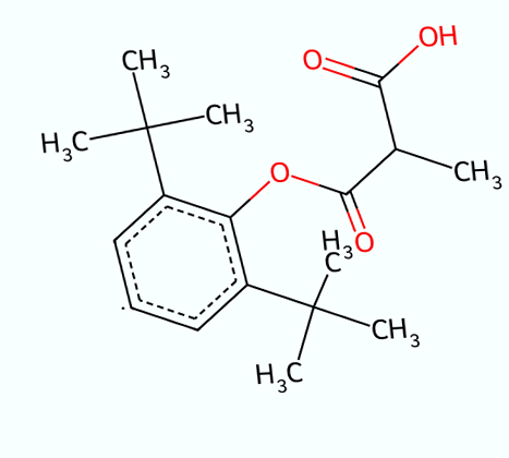 CC(C(=O)O)C(=O)Oc1c(C(C)(C)C)c[c]cc1C(C)(C)C